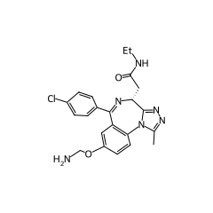 CCNC(=O)C[C@H]1N=C(c2ccc(Cl)cc2)c2cc(OCN)ccc2-n2c(C)nnc21